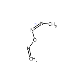 C=NO/N=N\C